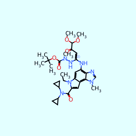 CCn1c(C(=O)N(C2CC2)C2CC2)cc2c3c(ncn3C)c(N/C(=C/C(=O)C(OC)OC)NN(C)C(=O)OC(C)(C)C)cc21